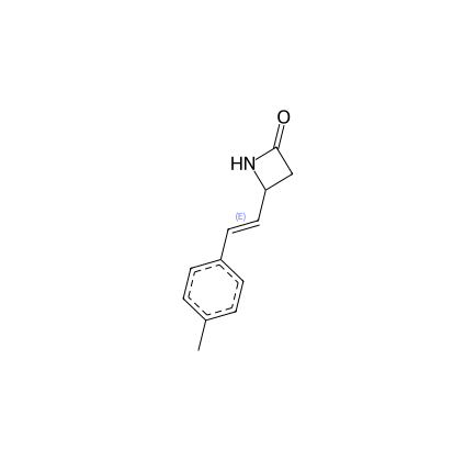 Cc1ccc(/C=C/C2CC(=O)N2)cc1